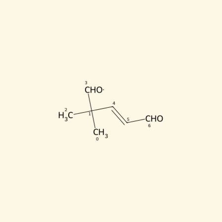 CC(C)([C]=O)C=CC=O